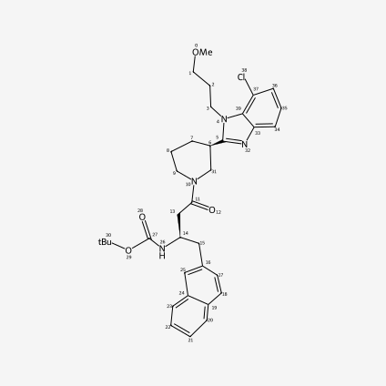 COCCCn1c([C@@H]2CCCN(C(=O)C[C@@H](Cc3ccc4ccccc4c3)NC(=O)OC(C)(C)C)C2)nc2cccc(Cl)c21